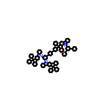 c1ccc(-c2cc(-c3ccccc3)cc(-n3c4ccccc4c4ccc5c(c43)-c3ccccc3C5(c3ccccc3)c3ccc(-c4ccc(-c5cc(-n6c7ccccc7c7cc8c(cc76)-c6ccccc6C8(c6ccccc6)c6ccccc6)cc(-n6c7ccccc7c7cc8c(cc76)-c6ccccc6C8(c6ccccc6)c6ccccc6)c5)cc4)cc3)c2)cc1